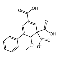 COC1C(c2ccccc2)=CC(C(=O)O)=CC1(C(=O)O)[N+](=O)[O-]